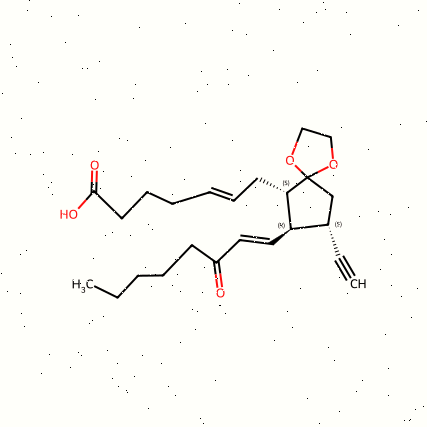 C#C[C@H]1CC2(OCCO2)[C@@H](CC=CCCCC(=O)O)[C@@H]1C=CC(=O)CCCCC